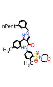 CCCCCc1cccc(Cn2cc(C(=O)Nc3ccc(C)c(S(=O)(=O)N4CCOCC4)c3)c(-c3ccc(C)cc3)n2)c1